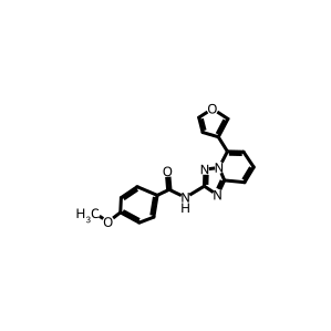 COc1ccc(C(=O)Nc2nc3cccc(-c4ccoc4)n3n2)cc1